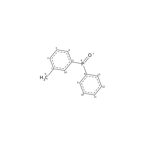 Cc1cccc([P](=O)c2ccccc2)c1